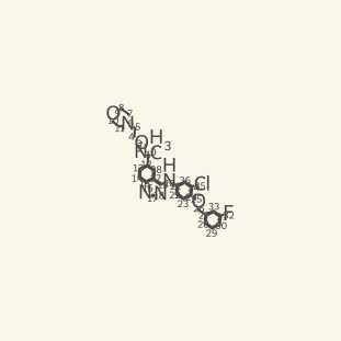 CC(=NOCCN1CCOCC1)c1ccc2ncnc(Nc3ccc(OCc4cccc(F)c4)c(Cl)c3)c2c1